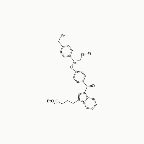 CCOC[C@H](Oc1ccc(C(=O)c2cc(CCCC(=O)OCC)n3ccccc23)cc1)c1ccc(CC(C)C)cc1